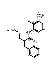 CCCCCSCC(Cc1ccccc1)C(=O)Nc1cccc(C(=O)O)c1C